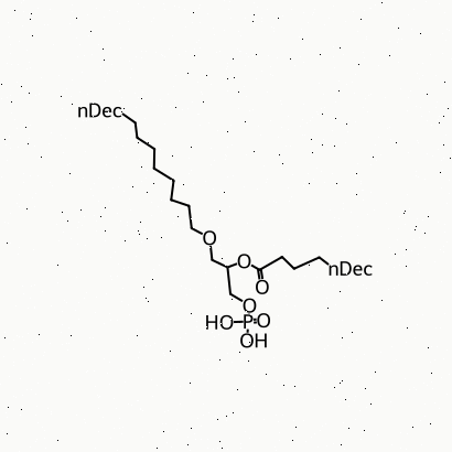 CCCCCCCCCCCCCCCCCCOCC(COP(=O)(O)O)OC(=O)CCCCCCCCCCCCC